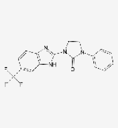 O=C1N(c2ccccc2)CCN1c1nc2ccc(C(F)(F)F)cc2[nH]1